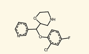 Fc1ccc(OC(c2cccnc2)C2CNCCO2)c(Cl)c1